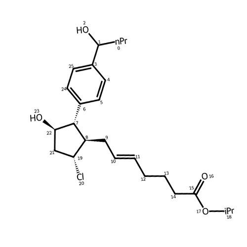 CCCC(O)c1ccc([C@@H]2[C@@H](CC=CCCCC(=O)OC(C)C)[C@H](Cl)C[C@H]2O)cc1